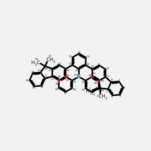 CC1(C)c2ccccc2-c2ccc(-c3cccc(-c4ccc5c(c4)C(C)(C)c4ccccc4-5)c3N(c3cccnc3)c3cccnc3)cc21